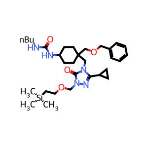 CCCCNC(=O)NC1CCC(COCc2ccccc2)(Cn2c(C3CC3)nn(COCC[Si](C)(C)C)c2=O)CC1